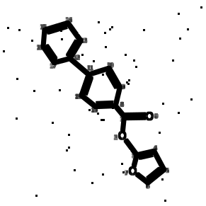 O=C(Oc1ccco1)c1ccc(-c2ccccc2)cc1